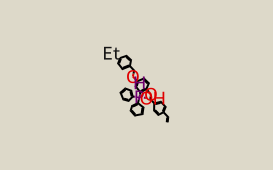 C=Cc1ccc(COc2ccc(OCc3ccc(CC)cc3)cc2[PH](O)(c2ccccc2)c2ccccc2)cc1